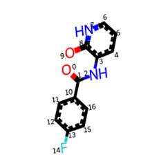 O=C(Nc1ccc[nH]c1=O)c1ccc(F)cc1